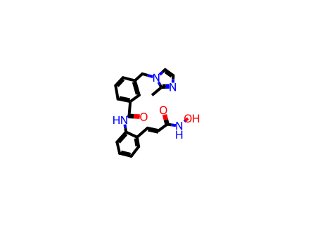 Cc1nccn1Cc1cccc(C(=O)Nc2ccccc2/C=C/C(=O)NO)c1